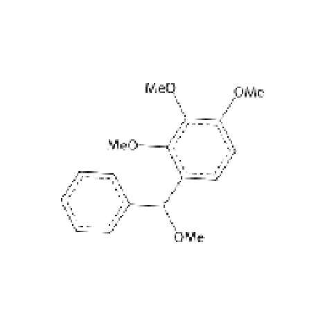 CO[C](c1ccccc1)c1ccc(OC)c(OC)c1OC